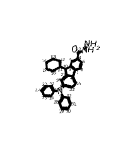 NNC(=O)c1ccc2c(c1)C(C1CCCCC1)c1cc(N(c3ccccc3)c3ccccc3)ccc1-2